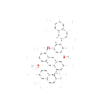 Bc1c(B)c(B)c2c(-c3c4c(B)c(B)c(B)c(B)c4c(-c4c(B)c(B)c5c(oc6c7c(B)c(B)c(B)c(B)c7c(B)c(B)c65)c4B)c4c(B)c(B)c(B)c(B)c34)c(B)c(B)c(B)c2c1B